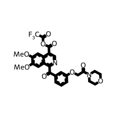 COc1cc2c(C(=O)OC(=O)C(F)(F)F)cnc(C(=O)c3cccc(OCC(=O)N4CCOCC4)c3)c2cc1OC